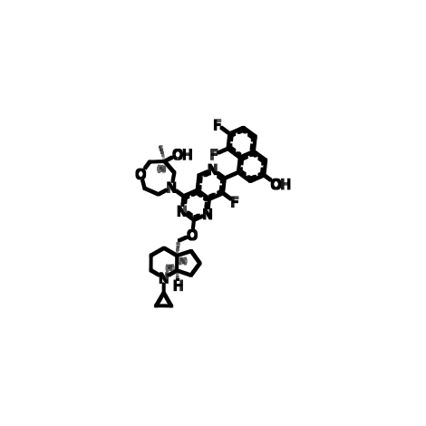 C[C@@]1(O)COCCN(c2nc(OC[C@]34CCC[C@H]3N(C3CC3)CCC4)nc3c(F)c(-c4cc(O)cc5ccc(F)c(F)c45)ncc23)C1